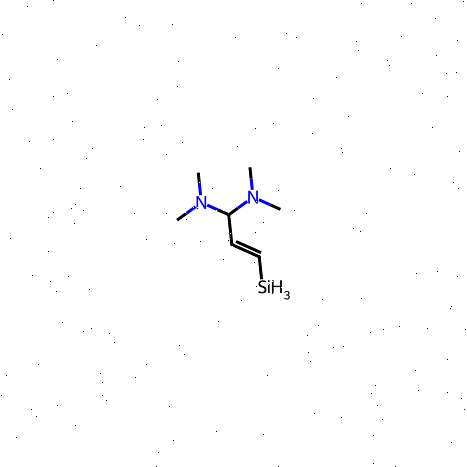 CN(C)C(C=C[SiH3])N(C)C